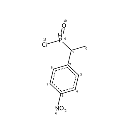 CC(c1ccc([N+](=O)[O-])cc1)[PH](=O)Cl